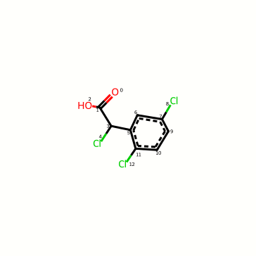 O=C(O)C(Cl)c1cc(Cl)ccc1Cl